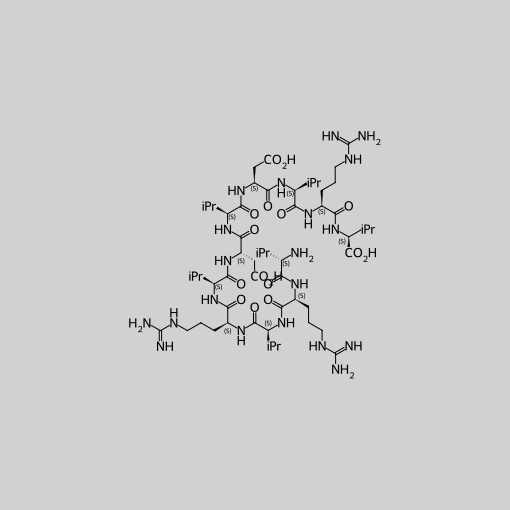 CC(C)[C@H](N)C(=O)N[C@@H](CCCNC(=N)N)C(=O)N[C@H](C(=O)N[C@@H](CCCNC(=N)N)C(=O)N[C@H](C(=O)N[C@@H](CC(=O)O)C(=O)N[C@H](C(=O)N[C@@H](CC(=O)O)C(=O)N[C@H](C(=O)N[C@@H](CCCNC(=N)N)C(=O)N[C@H](C(=O)O)C(C)C)C(C)C)C(C)C)C(C)C)C(C)C